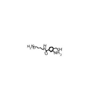 NOCCCCNC(=O)c1ccc(CS)c(N)c1